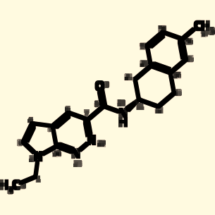 CCn1ccc2cc(C(=O)N[C@@H]3CCc4cc(C)ccc4C3)nnc21